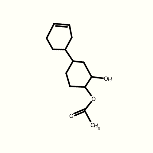 CC(=O)OC1CCC(C2CC=CCC2)CC1O